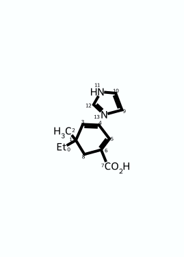 CCC1(C)C=CC=C(C(=O)O)C1.c1c[nH]cn1